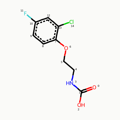 O=C(O)NCCOc1ccc(F)cc1Cl